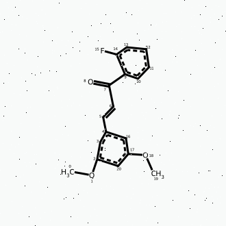 COc1cc(/C=C/C(=O)c2ccccc2F)cc(OC)c1